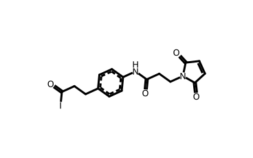 O=C(I)CCc1ccc(NC(=O)CCN2C(=O)C=CC2=O)cc1